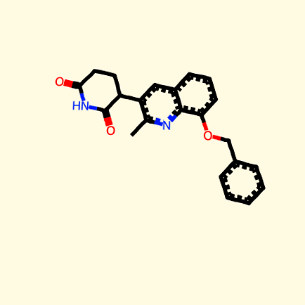 Cc1nc2c(OCc3ccccc3)cccc2cc1C1CCC(=O)NC1=O